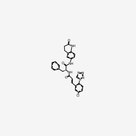 O=C(C=Cc1cc(Cl)ccc1-n1cnnn1)N[C@@H](Cc1ccccc1)C(=O)Nc1ccc2c(c1)CCC(=O)N2